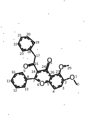 COc1ccc2oc(-c3ccccc3)c(C(=O)Cc3ccccc3)c(=O)c2c1OC